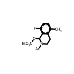 CCOC(=O)OC1c2c(F)ccc(C)c2CCN1C(C)=O